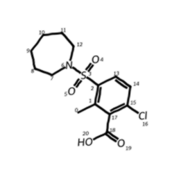 Cc1c(S(=O)(=O)N2CCCCCC2)ccc(Cl)c1C(=O)O